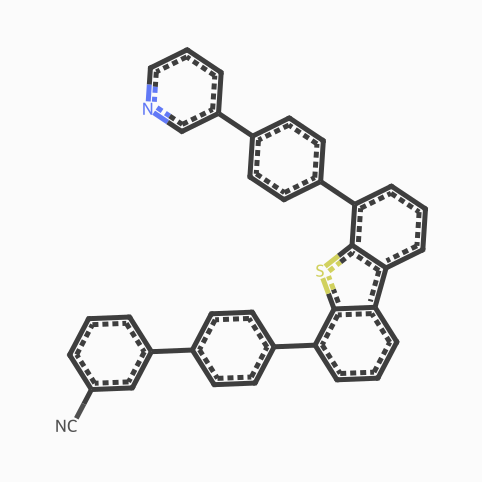 N#Cc1cccc(-c2ccc(-c3cccc4c3sc3c(-c5ccc(-c6cccnc6)cc5)cccc34)cc2)c1